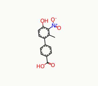 Cc1c(-c2ccc(C(=O)O)cc2)ccc(O)c1[N+](=O)[O-]